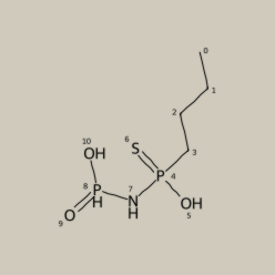 CCCCP(O)(=S)N[PH](=O)O